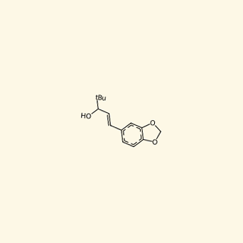 CC(C)(C)C(O)C=Cc1ccc2c(c1)OCO2